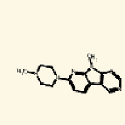 CN1CCN(c2ccc3c4cnccc4n(C)c3n2)CC1